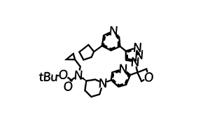 CC(C)(C)OC(=O)N(CC1CC1)[C@@H]1CCCN(c2ccc(C3(n4cc(-c5cncc(C6CCCC6)c5)nn4)COC3)nc2)C1